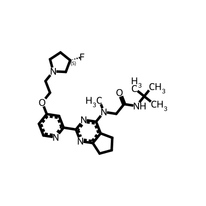 CN(CC(=O)NC(C)(C)C)c1nc(-c2cc(OCCN3CC[C@H](F)C3)ccn2)nc2c1CCC2